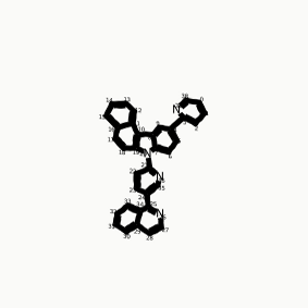 c1ccc(-c2ccc3c(c2)c2c4ccccc4ccc2n3-c2ccc(-c3nccc4ccccc34)cn2)nc1